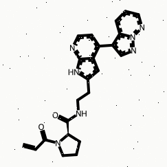 C=CC(=O)N1CCC[C@@H]1C(=O)NCCc1cc2c(-c3cnn4ncccc34)ccnc2[nH]1